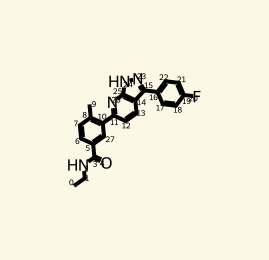 CCNC(=O)c1ccc(C)c(-c2ccc3c(-c4ccc(F)cc4)n[nH]c3n2)c1